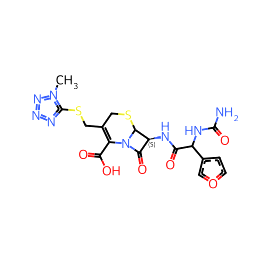 Cn1nnnc1SCC1=C(C(=O)O)N2C(=O)[C@H](NC(=O)C(NC(N)=O)c3ccoc3)C2SC1